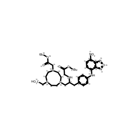 CC(C)(C)OC(=O)CNC(Cc1ccc(Nc2ccc([N+](=O)[O-])c3nonc23)cc1)CN1CCN(CC(=O)O)CCN(CC(=O)OC(C)(C)C)CC1